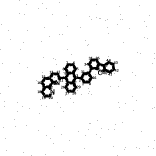 c1cc(-c2c3ccccc3c(-c3ccc4ccc5cccnc5c4n3)c3ccccc23)cc(-c2cccc3c2oc2ccccc23)c1